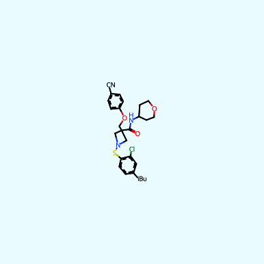 CCC(C)c1ccc(SN2CC(COc3ccc(C#N)cc3)(C(=O)NC3CCOCC3)C2)c(Cl)c1